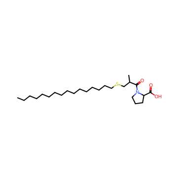 CCCCCCCCCCCCCCCCSCC(C)C(=O)N1CCCC1C(=O)O